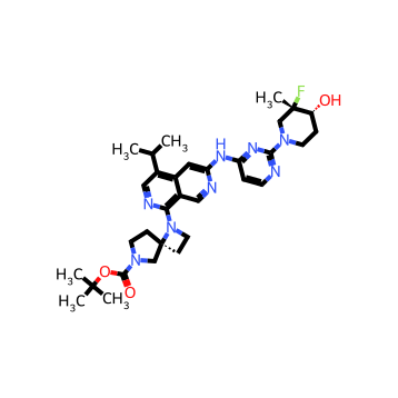 CC(C)c1cnc(N2CC[C@]23CCN(C(=O)OC(C)(C)C)C3)c2cnc(Nc3ccnc(N4CC[C@@H](O)[C@@](C)(F)C4)n3)cc12